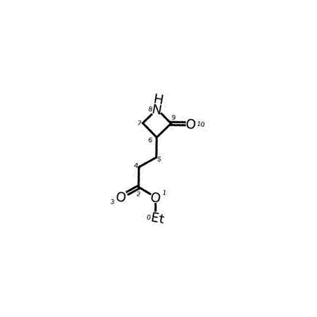 CCOC(=O)CCC1CNC1=O